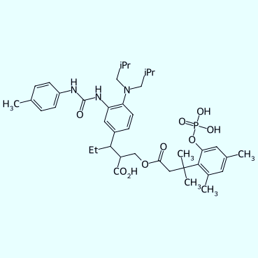 CCC(c1ccc(N(CC(C)C)CC(C)C)c(NC(=O)Nc2ccc(C)cc2)c1)C(COC(=O)CC(C)(C)c1c(C)cc(C)cc1OP(=O)(O)O)C(=O)O